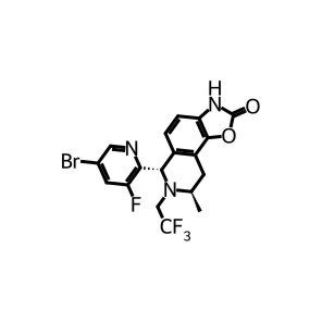 C[C@@H]1Cc2c(ccc3[nH]c(=O)oc23)[C@@H](c2ncc(Br)cc2F)N1CC(F)(F)F